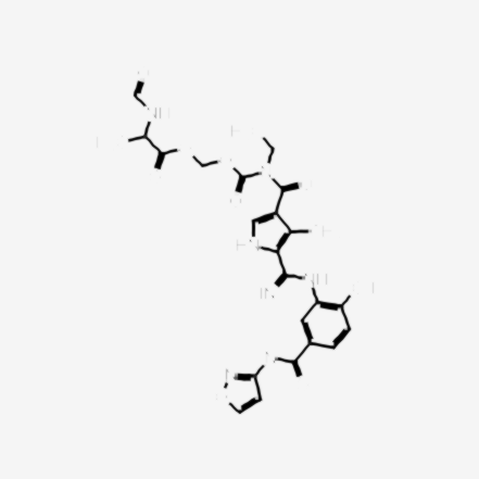 CCN(C(=O)OCOC(=O)C(C)NC=O)C(=O)c1c[nH]c(C(=N)Nc2cc(C(=O)Nc3ccon3)ccc2C)c1C